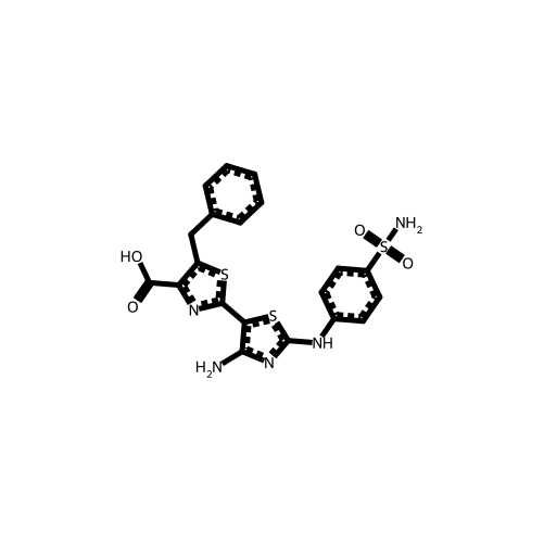 Nc1nc(Nc2ccc(S(N)(=O)=O)cc2)sc1-c1nc(C(=O)O)c(Cc2ccccc2)s1